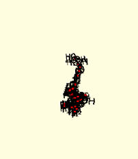 CN(C[C@H](O)[C@@H](O)[C@H](O)[C@H](O)CO)C(=O)CCOCCOCCOc1ccc(CN2C(=O)C(C(=O)Nc3ccc(C(F)(F)F)cc3-c3cc(C(F)(F)F)ncn3)=C(O)C3(CCCC3)N2C)c(F)c1F